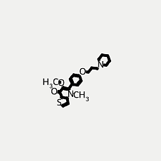 COC1=C(c2ccc(OCCCN3CCCCC3)cc2)N(C)C2C=CSC2C1=O